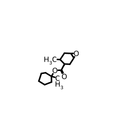 CC1CC2OC2C[C]1C(=O)OC1(C)CCCCC1